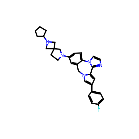 Fc1ccc(-c2cc3n(c2)Cc2cc(N4CCC5(C4)CN(C4CCCC4)C5)ccc2-n2ccnc2-3)cc1